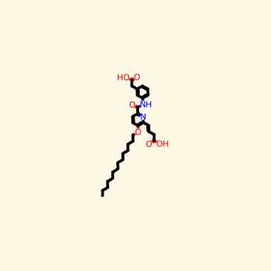 CCCCCCCCCCCCCCOc1ccc(C(=O)Nc2cccc(CC(=O)O)c2)nc1C=CCC(=O)O